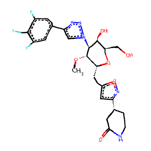 CO[C@@H]1[C@@H](n2cc(-c3cc(F)c(F)c(F)c3)nn2)[C@@H](O)[C@@H](CO)O[C@@H]1Cc1cc([C@@H]2CCNC(=O)C2)no1